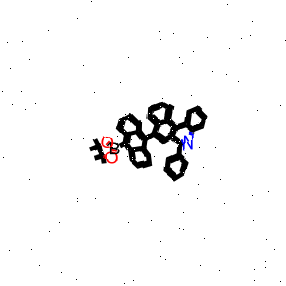 CC1(C)OB(c2c3ccccc3c(-c3cc4c(-c5ccccc5)nc5ccccc5c4c4ccccc34)c3ccccc23)OC1(C)C